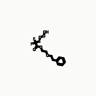 O=C(OCCOCCc1ccccc1)C(F)(F)SOOO